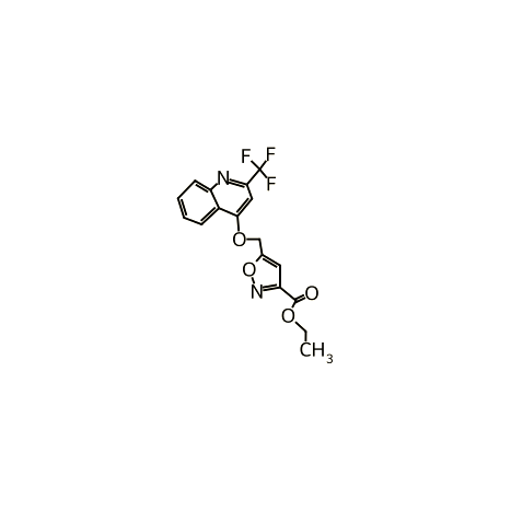 CCOC(=O)c1cc(COc2cc(C(F)(F)F)nc3ccccc23)on1